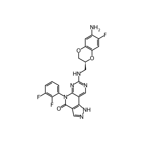 Nc1cc2c(cc1F)O[C@@H](CNc1ncc3c4[nH]ncc4c(=O)n(-c4cccc(F)c4F)c3n1)CO2